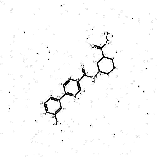 COC(=O)C1CCCC(NC(=O)c2ccc(-c3cccc(F)c3)nc2)C1